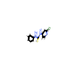 S=C(Nc1ccccc1)Nc1ccnc(Cl)c1